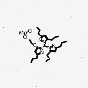 CCCc1cc(CCC)n(C(n2nc(CCC)cc2CCC)n2nc(CCC)cc2CCC)n1.[Cl][Mn][Cl]